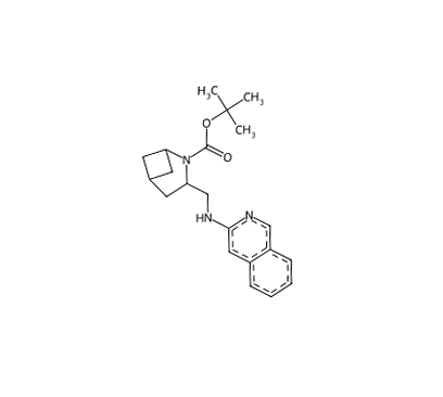 CC(C)(C)OC(=O)N1C(CNc2cc3ccccc3cn2)CC2CC1C2